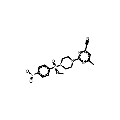 CN=S(=O)(c1ccc([N+](=O)[O-])cc1)N1CCN(c2nc(C)cc(C#N)n2)CC1